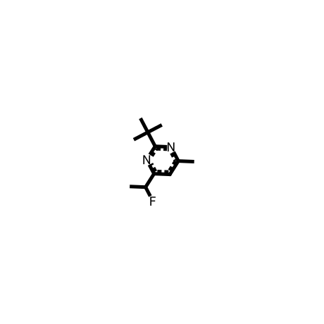 Cc1cc(C(C)F)nc(C(C)(C)C)n1